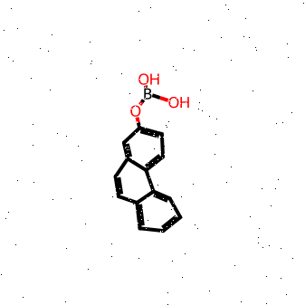 OB(O)Oc1ccc2c(ccc3ccccc32)c1